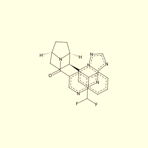 O=C(c1cnc2ccccc2c1)N1[C@H]2CC[C@H](c3cc(C(F)F)nc4ncnn34)[C@@H]1CC2